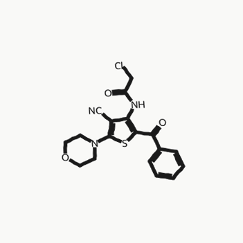 N#Cc1c(N2CCOCC2)sc(C(=O)c2ccccc2)c1NC(=O)CCl